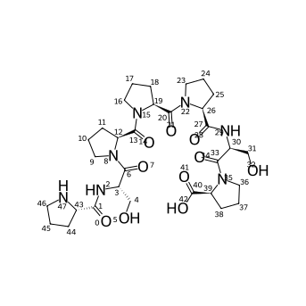 O=C(N[C@@H](CO)C(=O)N1CCC[C@H]1C(=O)N1CCC[C@H]1C(=O)N1CCC[C@H]1C(=O)N[C@@H](CO)C(=O)N1CCC[C@H]1C(=O)O)[C@@H]1CCCN1